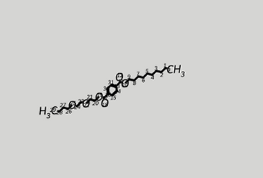 CCCCCCCCCCOC(=O)c1ccc(C(=O)OCCOCCOCCCC)cc1